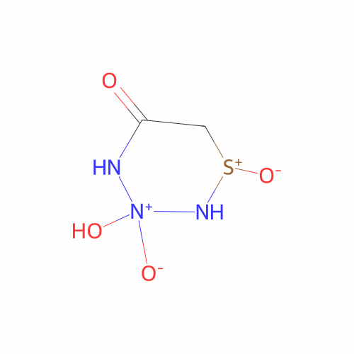 O=C1C[S+]([O-])N[N+]([O-])(O)N1